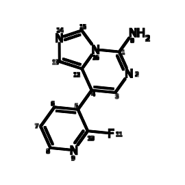 Nc1ncc(-c2cccnc2F)c2cncn12